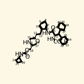 O=C(O)N[C@H](C(=O)Nc1ccccc1CC[C@@H]1CN[C@H](COC(=O)NC2CCC2)CO1)C(c1ccccc1)c1ccccc1